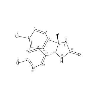 C[C@@]1(c2ccc(Cl)cc2)NC(=O)N[C@@H]1c1ccc(Cl)nc1